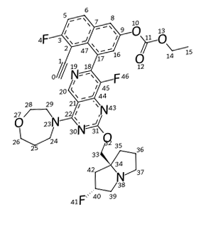 C#Cc1c(F)ccc2cc(OC(=O)OCC)cc(-c3ncc4c(N5CCCOCC5)nc(OC[C@@]56CCCN5C[C@H](F)C6)nc4c3F)c12